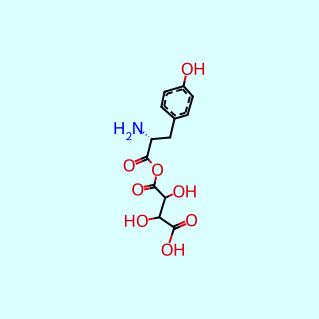 N[C@H](Cc1ccc(O)cc1)C(=O)OC(=O)C(O)C(O)C(=O)O